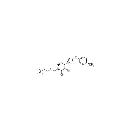 C[Si](C)(C)CCOCn1ncc(N2CC(Oc3ccc(C(F)(F)F)cc3)C2)c(Br)c1=O